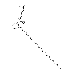 CCCCCCCCCCCCCCCCCCOCCC1CCCCN1C(=O)OCCCN(C)C